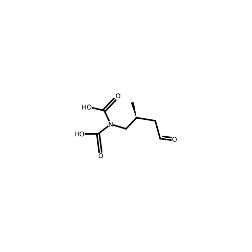 C[C@@H](CC=O)CN(C(=O)O)C(=O)O